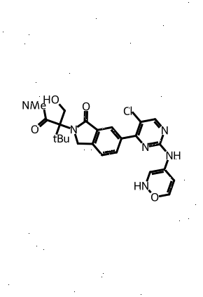 CNC(=O)C(CO)(N1Cc2ccc(-c3nc(NC4=CNOC=C4)ncc3Cl)cc2C1=O)C(C)(C)C